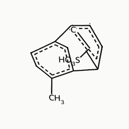 Cc1ccc2cc1-c1c[c]c-2[c]c1S(=O)(=O)O